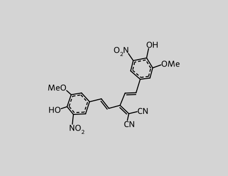 COc1cc(/C=C/C(/C=C/c2cc(OC)c(O)c([N+](=O)[O-])c2)=C(C#N)C#N)cc([N+](=O)[O-])c1O